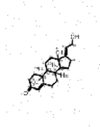 C[C@]12CCC(=O)C=C1CC[C@@H]1[C@@H]2CC[C@]2(C)C(=CCO)CC[C@@H]12